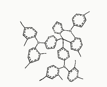 Cc1ccc(N2c3ccccc3C(c3ccc(N(c4ccc(C)cc4C)c4ccc(C)cc4C)cc3)(c3ccc(N(c4ccc(C)cc4C)c4ccc(C)cc4C)cc3)c3cc(C)ccc32)cc1